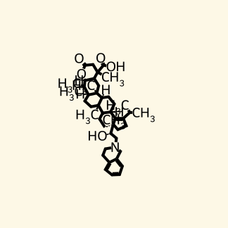 CC(C)C1=C2[C@H]3CC[C@@H]4[C@@]5(C)CC6[C@H](OC(=O)CC6(C)C(=O)O)C(C)(C)[C@@H]5CC[C@@]4(C)[C@]3(C)CC[C@@]2([C@@H](O)CN2CCc3ccccc3C2)CC1